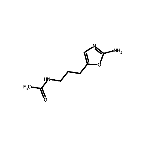 Nc1ncc(CCCNC(=O)C(F)(F)F)o1